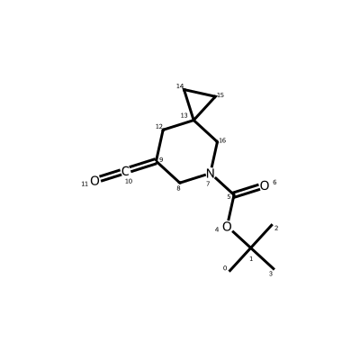 CC(C)(C)OC(=O)N1CC(=C=O)CC2(CC2)C1